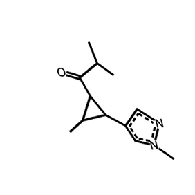 CC(C)C(=O)C1C(C)C1c1cnn(C)c1